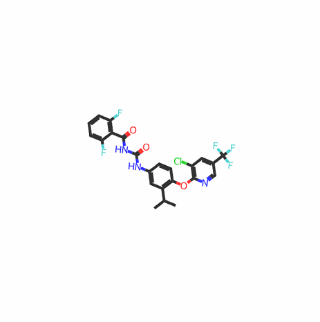 CC(C)c1cc(NC(=O)NC(=O)c2c(F)cccc2F)ccc1Oc1ncc(C(F)(F)F)cc1Cl